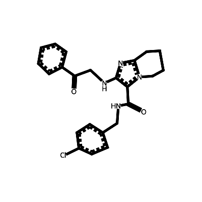 O=C(CNc1nc2n(c1C(=O)NCc1ccc(Cl)cc1)CCCC2)c1ccccc1